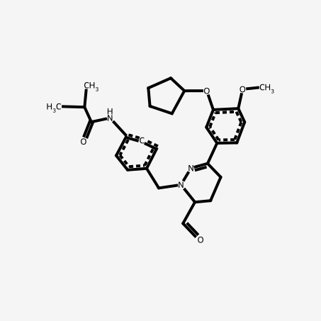 COc1ccc(C2=NN(Cc3ccc(NC(=O)C(C)C)cc3)C(C=O)CC2)cc1OC1CCCC1